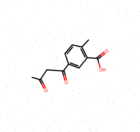 CC(=O)CC(=O)c1ccc(C)c(C(=O)O)c1